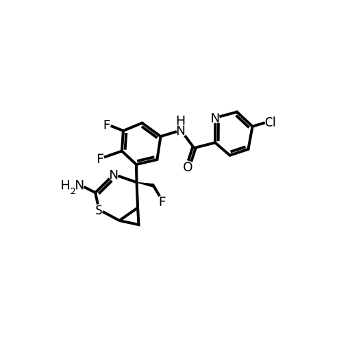 NC1=N[C@](CF)(c2cc(NC(=O)c3ccc(Cl)cn3)cc(F)c2F)C2CC2S1